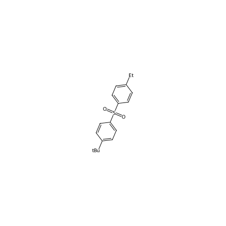 CCc1ccc(S(=O)(=O)c2ccc(C(C)(C)C)cc2)cc1